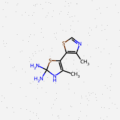 CC1=C(c2scnc2C)SC(N)(N)N1